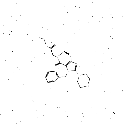 CCOC(=O)Cn1cnc2nc(N3CCNCC3)n(Cc3ccccc3)c2c1=O